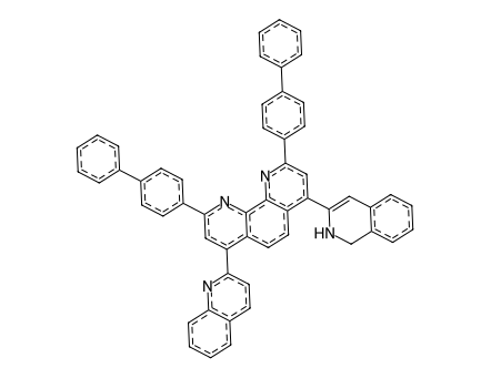 C1=C(c2cc(-c3ccc(-c4ccccc4)cc3)nc3c2ccc2c(-c4ccc5ccccc5n4)cc(-c4ccc(-c5ccccc5)cc4)nc23)NCc2ccccc21